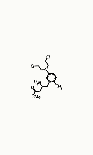 COC(=O)C[C@@H](N)Cc1cc(N(CCCl)CCCl)ccc1C